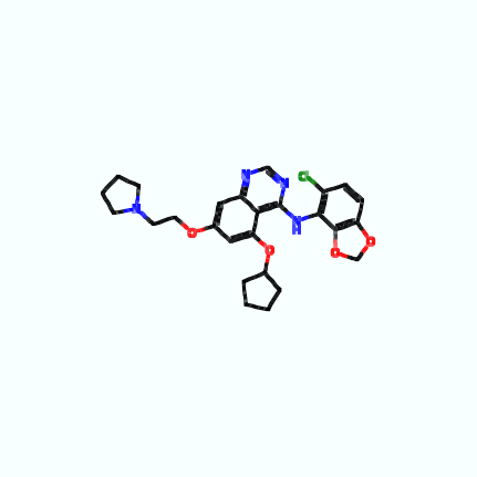 Clc1ccc2c(c1Nc1ncnc3cc(OCCN4CCCC4)cc(OC4CCCC4)c13)OCO2